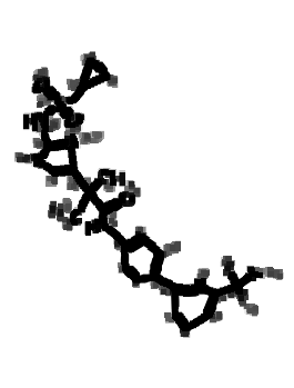 CC(C)(C(=O)Nc1ccc(-c2cccc(C(F)(F)F)n2)cc1)c1csc(NS(=O)(=O)C2CC2)n1